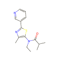 CCN(C(=O)C(C)C)c1sc(-c2cccnc2)nc1C